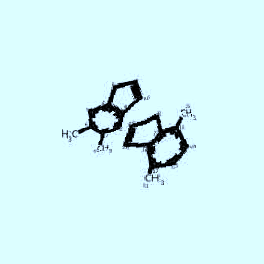 Cc1cc2c(cc1C)CC=C2.Cc1ccc(C)c2c1C=CC2